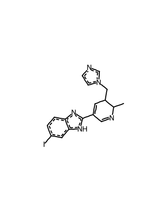 CC1N=CC(c2nc3ccc(I)cc3[nH]2)=CC1Cn1ccnc1